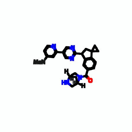 CNc1ccnc(-c2cnc(C3CC4(CC4)c4ccc(C(=O)N5C[C@@H]6C[C@H]5CN6)cc43)nc2)c1